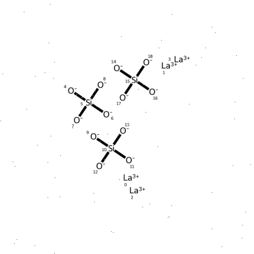 [La+3].[La+3].[La+3].[La+3].[O-][Si]([O-])([O-])[O-].[O-][Si]([O-])([O-])[O-].[O-][Si]([O-])([O-])[O-]